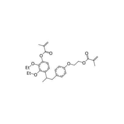 C=C(C)C(=O)OCCOc1ccc(CC(C)c2ccc(OC(=O)C(=C)C)c(OCC)c2OCC)cc1